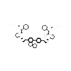 COC(=O)N[C@H](C(=O)N1CCC[C@@H]1c1ncc(-c2ccc(-c3ccc(-c4cnc([C@@H]5CCCN5C(=O)[C@@H](NC(=O)OC)C5CCCCC5)[nH]4)c4c3C3(CCCC3)CC4)cc2)[nH]1)C1CCCCC1